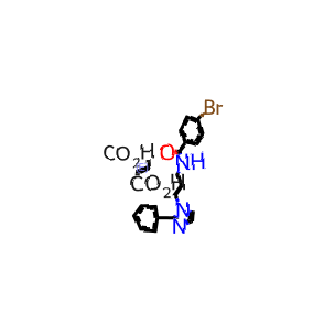 O=C(NCCCn1ccnc1-c1ccccc1)c1ccc(Br)cc1.O=C(O)/C=C/C(=O)O